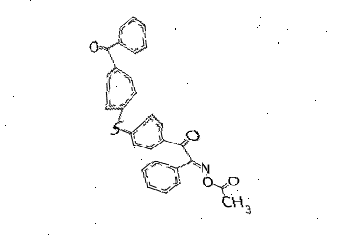 CC(=O)O/N=C(/C(=O)c1ccc(Sc2ccc(C(=O)c3ccccc3)cc2)cc1)c1ccccc1